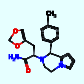 Cc1ccc(C2c3cccn3CCN2C(CC2=COCO2)C(N)=O)cc1